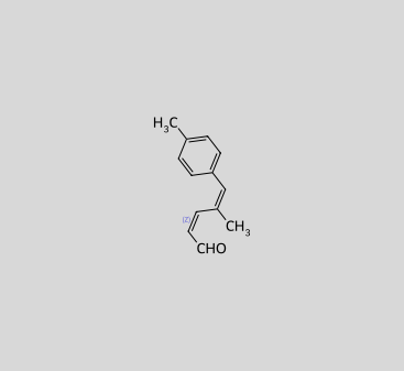 CC(=Cc1ccc(C)cc1)/C=C\C=O